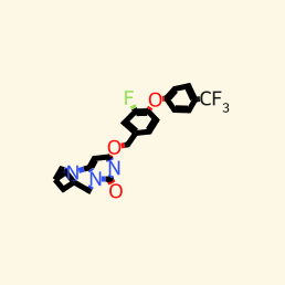 O=c1nc(OCc2ccc(Oc3ccc(C(F)(F)F)cc3)c(F)c2)cc2n1CC13CC(CN21)C3